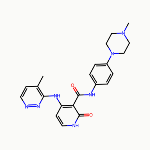 Cc1ccnnc1Nc1cc[nH]c(=O)c1C(=O)Nc1ccc(N2CCN(C)CC2)cc1